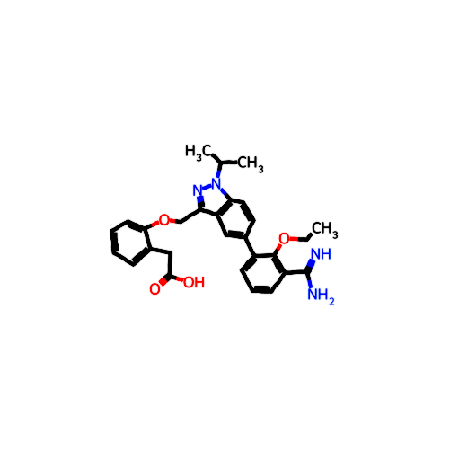 CCOc1c(C(=N)N)cccc1-c1ccc2c(c1)c(COc1ccccc1CC(=O)O)nn2C(C)C